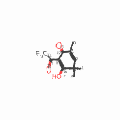 CC1=CC(C)(C)C(O)=C(C(=O)C(F)(F)F)C1=O